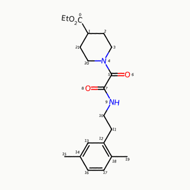 CCOC(=O)C1CCN(C(=O)C(=O)NCCc2cc(C)ccc2C)CC1